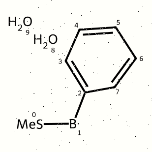 CS[B]c1ccccc1.O.O